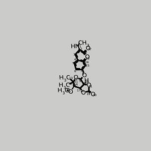 CNc1cc2ccc(OC3OC(C)(C)[C@H](OC)C4OC(=O)O[C@H]34)cc2oc1=O